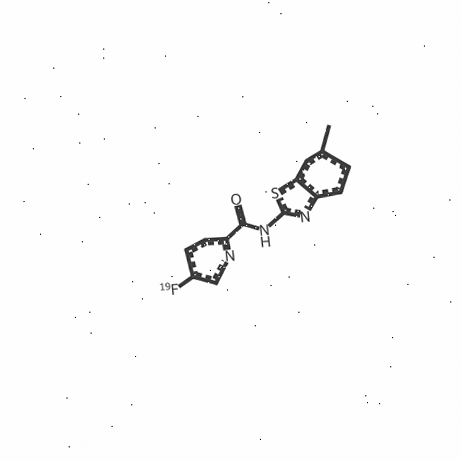 Cc1ccc2nc(NC(=O)c3ccc([19F])cn3)sc2c1